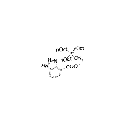 CCCCCCCC[P+](C)(CCCCCCCC)CCCCCCCC.O=C([O-])c1cccc2[nH]nnc12